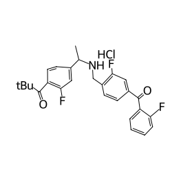 CC(NCc1ccc(C(=O)c2ccccc2F)cc1F)c1ccc(C(=O)C(C)(C)C)c(F)c1.Cl